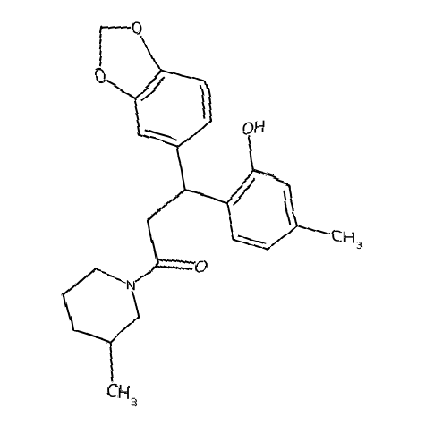 Cc1ccc(C(CC(=O)N2CCCC(C)C2)c2ccc3c(c2)OCO3)c(O)c1